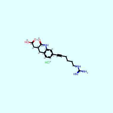 Cl.N=C(N)NCCCCC#Cc1ccc2c(c1)NC(=O)C(CC(=O)O)C2